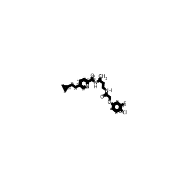 C=C(CCNC(=O)COc1ccc(Cl)c(F)c1)NC(=O)c1ccc(CCC2CC2)cn1